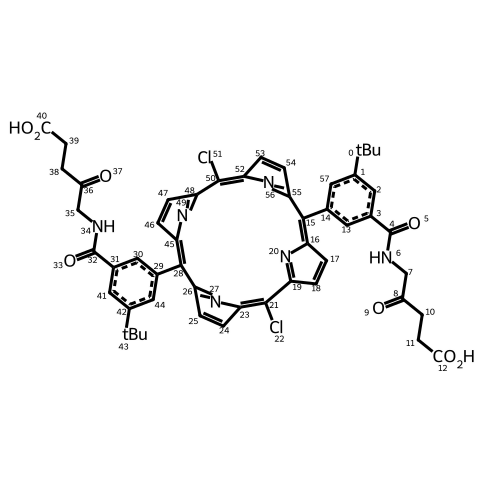 CC(C)(C)c1cc(C(=O)NCC(=O)CCC(=O)O)cc(C2=C3C=CC(=N3)C(Cl)=C3C=CC(=N3)C(c3cc(C(=O)NCC(=O)CCC(=O)O)cc(C(C)(C)C)c3)=C3C=CC(=N3)C(Cl)=C3C=CC2=N3)c1